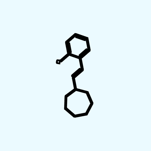 Clc1ccccc1C=CC1CCCCCC1